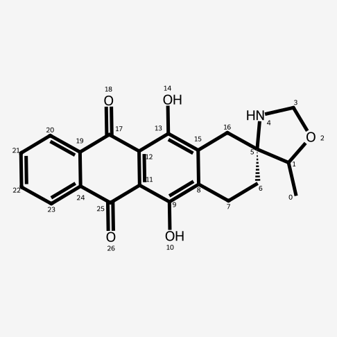 CC1OCN[C@@]12CCc1c(O)c3c(c(O)c1C2)C(=O)c1ccccc1C3=O